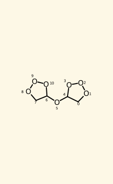 C1OOOC1OC1COOO1